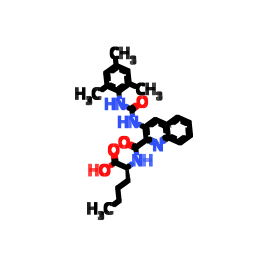 CCCC[C@H](NC(=O)c1nc2ccccc2cc1NC(=O)Nc1c(C)cc(C)cc1C)C(=O)O